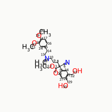 CCOC(=O)C(C#N)(CCCN(C)CCc1ccc(OC)c(OC)c1)c1ccc(CO)c(CO)c1